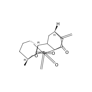 C=C1C(=O)C23CC[C@@H](CC2[C@@]24CCC[C@@](C)(COC2=O)C14)C(=C)C3=O